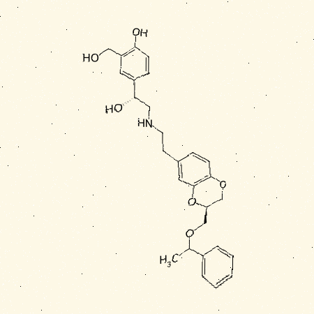 CC(OC[C@@H]1COc2ccc(CCNC[C@H](O)c3ccc(O)c(CO)c3)cc2O1)c1ccccc1